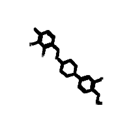 CCCCOc1ccc(C2CCC(OCc3ccc(C)c(F)c3F)CC2)cc1F